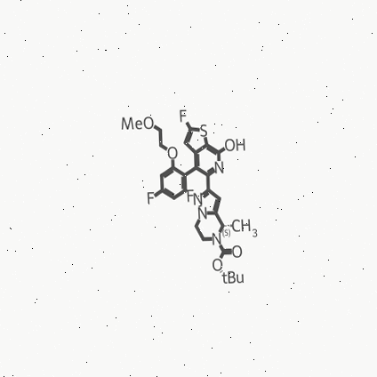 COCCOc1cc(F)cc(F)c1-c1c(-c2cc3n(n2)CCN(C(=O)OC(C)(C)C)[C@H]3C)nc(O)c2sc(F)cc12